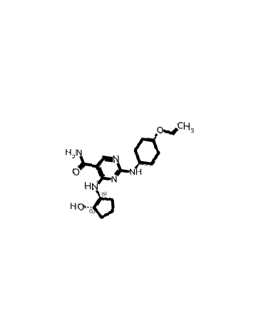 CCO[C@H]1CC[C@@H](Nc2ncc(C(N)=O)c(N[C@H]3CCC[C@@H]3O)n2)CC1